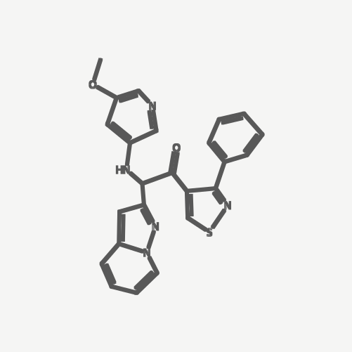 COc1cncc(NC(C(=O)c2csnc2-c2ccccc2)c2cc3ccccn3n2)c1